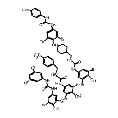 O=C(NCC1CCCCC1)Nc1cc(Br)c(O)c(Br)c1.O=C(NCc1ccc(C(F)(F)F)cc1)Nc1cc(Br)c(O)c(Br)c1.O=C(Nc1cc(Cl)cc(Cl)c1)Nc1cc(Br)c(O)c(Br)c1.O=C(Nc1ccc(Cl)cc1)Nc1cc(Br)c(O)c(Br)c1